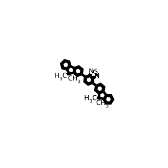 CC1(C)c2ccccc2-c2ccc(-c3ccc(-c4ccc5c(c4)C(C)(C)c4ccccc4-5)c4nsnc34)cc21